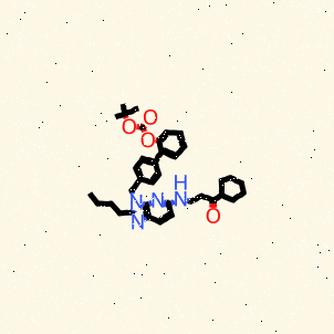 CCCCc1nc2ccc(NCCC(=O)C3CCCCC3)nc2n1Cc1ccc(-c2ccccc2OC(=O)OC(C)(C)C)cc1